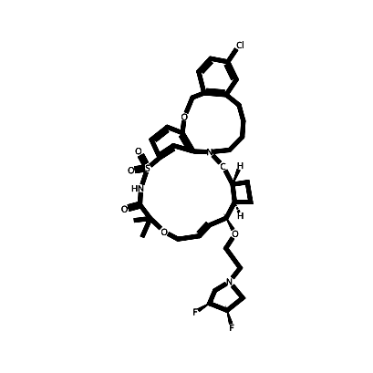 CC1(C)OC/C=C/[C@H](OCCN2C[C@@H](F)[C@@H](F)C2)[C@@H]2CC[C@H]2CN2CCCCc3cc(Cl)ccc3COc3ccc(cc32)S(=O)(=O)NC1=O